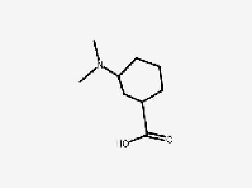 CN(C)C1CCCC(C(=O)O)C1